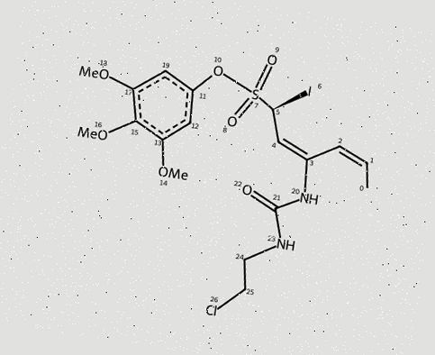 C/C=C\C(=C/[C@H](I)S(=O)(=O)Oc1cc(OC)c(OC)c(OC)c1)NC(=O)NCCCl